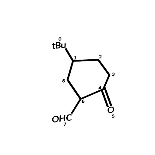 CC(C)(C)C1CCC(=O)C(C=O)C1